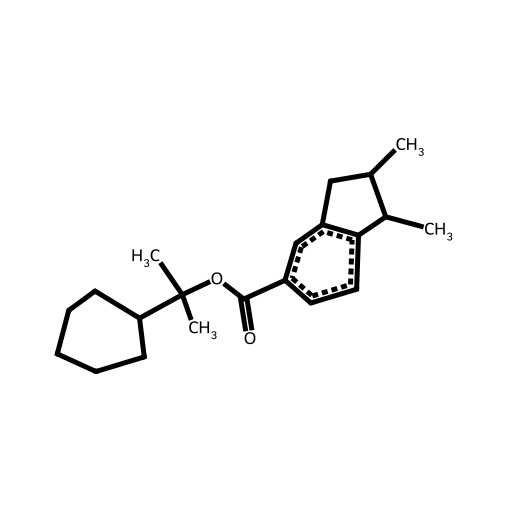 CC1Cc2cc(C(=O)OC(C)(C)C3CCCCC3)ccc2C1C